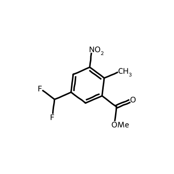 COC(=O)c1cc(C(F)F)cc([N+](=O)[O-])c1C